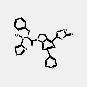 CN(c1cscn1)[C@@H](Cc1ccccc1)C(=O)N1CCc2c(-c3n[nH]c(=S)o3)cc(-c3ccncc3)cc21